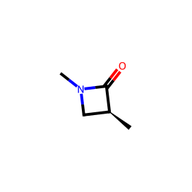 C[C@H]1CN(C)C1=O